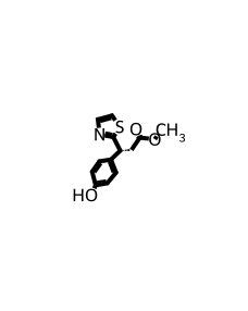 COC(=O)C[C@H](c1ccc(O)cc1)c1nccs1